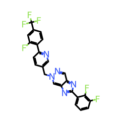 Fc1cc(C(F)(F)F)ccc1-c1ccc(Cn2cc3nc(-c4cccc(F)c4F)nc-3cn2)cn1